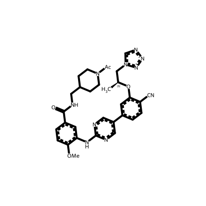 COc1ccc(C(=O)NCC2CCN(C(C)=O)CC2)cc1Nc1ncc(-c2ccc(C#N)c(O[C@@H](C)Cn3cnnn3)c2)cn1